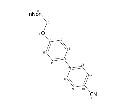 CCCCCCCCCCOc1ccc(-c2ccc(C#N)cc2)cc1